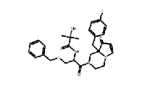 CC(C)(N)C(=O)NC(COCc1ccccc1)C(=O)N1CCN2C=CC(=O)C2(Cc2ccc(F)cc2)C1